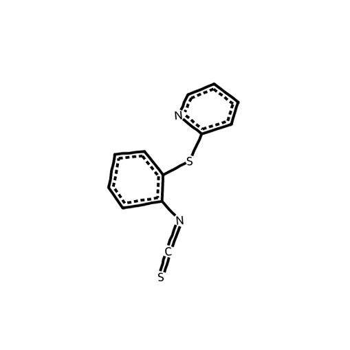 S=C=Nc1ccccc1Sc1ccccn1